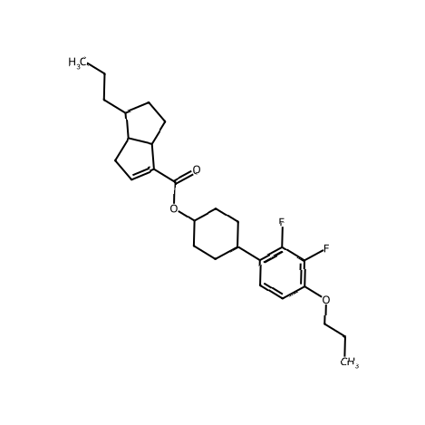 CCCOc1ccc(C2CCC(OC(=O)C3=CCC4C(CCC)CCC34)CC2)c(F)c1F